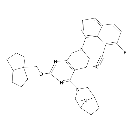 C#Cc1c(F)ccc2cccc(N3CCc4c(nc(OCC56CCCN5CCC6)nc4N4CC5CCC(C4)N5)C3)c12